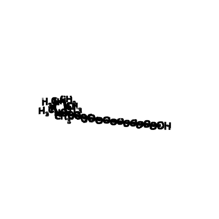 CN(C)CCN(C)CCN(C)CCN(C)CCN(C)CCOCCOCCOCCOCCOCCOCCOCCOCCOCCOCCOCCOCCOCCOCCO